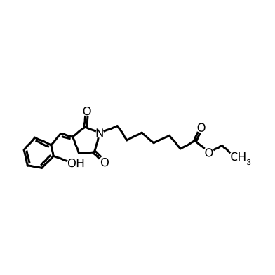 CCOC(=O)CCCCCCN1C(=O)C/C(=C\c2ccccc2O)C1=O